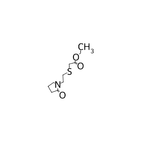 CCOC(=O)CSCCN1CCCC1=O